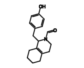 O=CN1CCC2=C(CCCC2)C1Cc1ccc(O)cc1